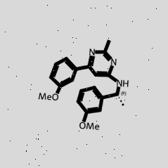 COc1cccc(-c2cc(N[C@H](C)c3cccc(OC)c3)nc(C)n2)c1